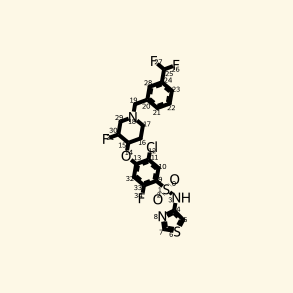 O=S(=O)(Nc1cscn1)c1cc(Cl)c(OC2CCN(Cc3cccc(C(F)F)c3)CC2F)cc1F